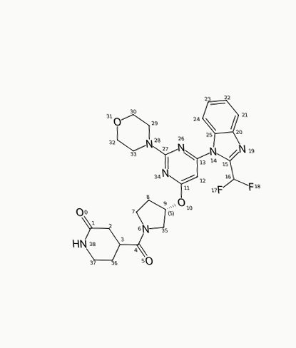 O=C1CC(C(=O)N2CC[C@H](Oc3cc(-n4c(C(F)F)nc5ccccc54)nc(N4CCOCC4)n3)C2)CCN1